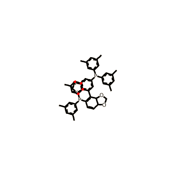 Cc1cc(C)cc(P(C2=C(c3cc(P(c4cc(C)cc(C)c4)c4cc(C)cc(C)c4)cc4c3OCO4)C3OCOC3C=C2)c2cc(C)cc(C)c2)c1